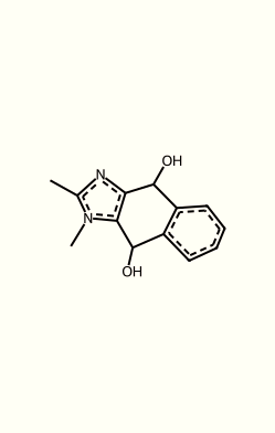 Cc1nc2c(n1C)C(O)c1ccccc1C2O